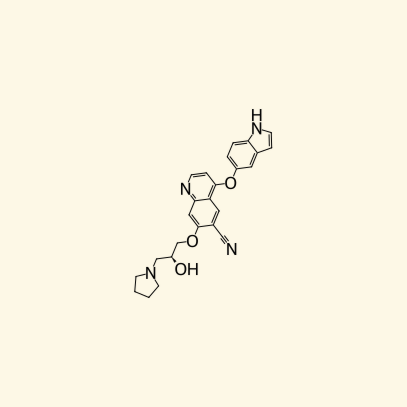 N#Cc1cc2c(Oc3ccc4[nH]ccc4c3)ccnc2cc1OC[C@@H](O)CN1CCCC1